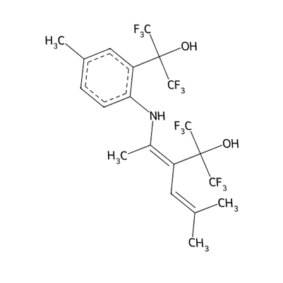 CC(C)=C/C(=C(\C)Nc1ccc(C)cc1C(O)(C(F)(F)F)C(F)(F)F)C(O)(C(F)(F)F)C(F)(F)F